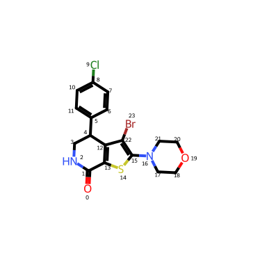 O=C1NCC(c2ccc(Cl)cc2)c2c1sc(N1CCOCC1)c2Br